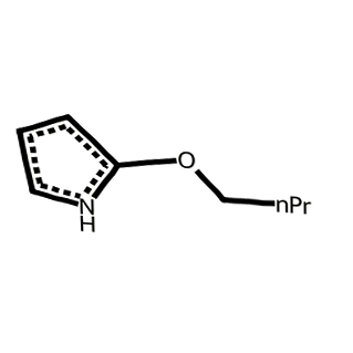 CCCCOc1ccc[nH]1